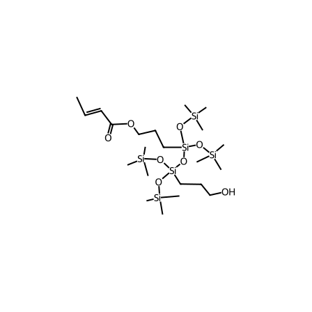 CC=CC(=O)OCCC[Si](O[Si](C)(C)C)(O[Si](C)(C)C)O[Si](CCCO)(O[Si](C)(C)C)O[Si](C)(C)C